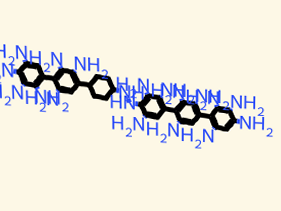 Nc1cc(-c2c(N)cc(C3CCC(NNc4c(N)cc(-c5c(N)cc(-c6c(N)cc(N)c(N)c6N)c(N)c5N)c(N)c4N)CC3)c(N)c2N)c(N)c(N)c1N